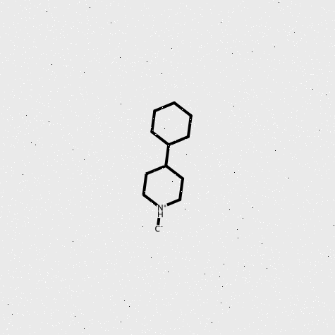 [CH2-][NH+]1CCC(C2CCCCC2)CC1